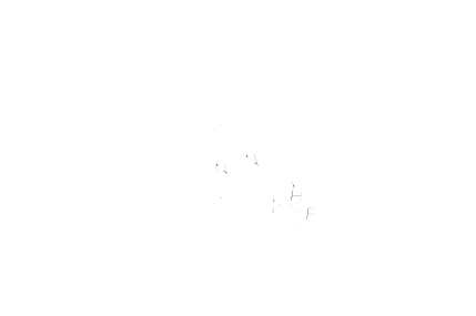 CCOC(=O)[C@@H]1[C@H]2COc3ccc(C)cc3[C@@H]2N2C(=O)N(c3ccccc3)C(=O)[C@]12C